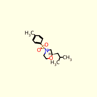 Cc1ccc(S(=O)(=O)N2CCO[C@H](CC(C)C)C2)cc1